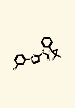 O=C(Nc1ccn(-c2cccc(Cl)c2)n1)[C@]1(c2ccccc2)CC1(F)F